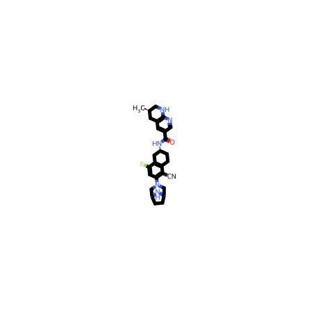 C[C@@H]1CNc2ncc(C(=O)N[C@@H]3CCc4c(C#N)c(N5CC6CCC(C5)N6)cc(F)c4C3)cc2C1